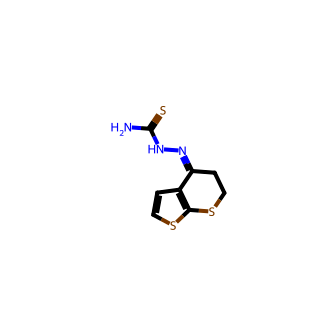 NC(=S)N/N=C1/CCSc2sccc21